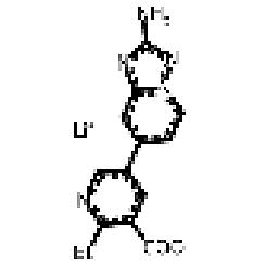 CCc1ncc(-c2ccn3nc(N)nc3c2)cc1C(=O)[O-].[Li+]